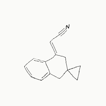 N#CC=C1CC2(CC2)Cc2ccccc21